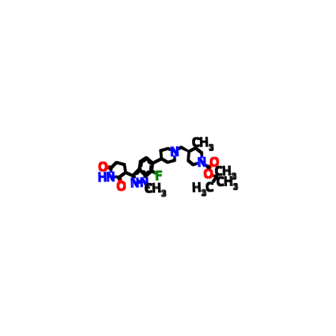 C[C@H]1CN(C(=O)OC(C)(C)C)CC[C@H]1CN1CCC(c2ccc3c(C4CCC(=O)NC4=O)nn(C)c3c2F)CC1